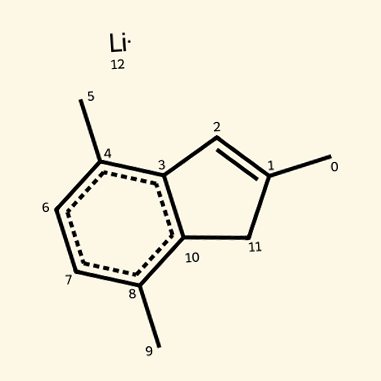 CC1=Cc2c(C)ccc(C)c2C1.[Li]